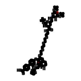 CC(C)(C)OC(=O)/N=C(/NCCC[C@H](NC(=O)OC(C)(C)C)C(=O)NCCOCCOCCOCCOc1cc2c(cc1Oc1ccc(-c3ccc(C(=O)O)cc3)c(F)c1)[C@@](C)(C(C=O)CNc1nccs1)NCC2)NC(=O)OC(C)(C)C